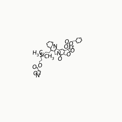 CCC1(OC(=O)OCc2ccccc2)C(=O)OCc2c1cc1n(c2=O)Cc2c-1nc1ccccc1c2CC[Si](C)(C)CCCOC(=O)c1ccno1